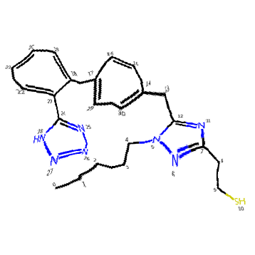 CCCCCn1nc(CCS)nc1Cc1ccc(-c2ccccc2-c2nnn[nH]2)cc1